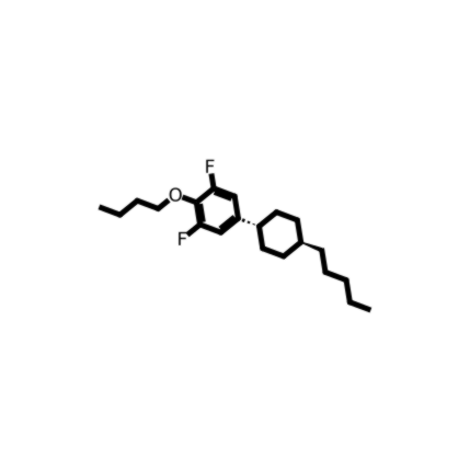 CCCCC[C@H]1CC[C@H](c2cc(F)c(OCCCC)c(F)c2)CC1